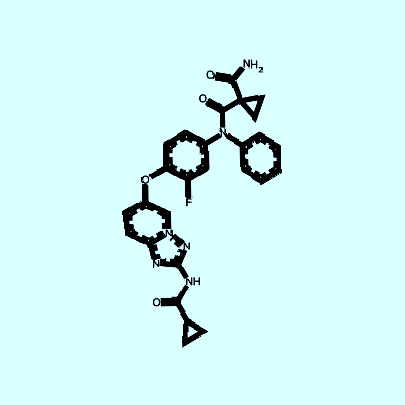 NC(=O)C1(C(=O)N(c2ccccc2)c2ccc(Oc3ccc4nc(NC(=O)C5CC5)nn4c3)c(F)c2)CC1